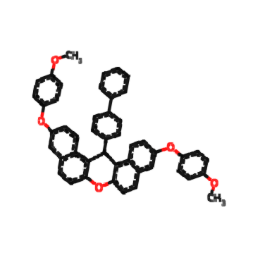 COc1ccc(Oc2ccc3c4c(ccc3c2)Oc2ccc3cc(Oc5ccc(OC)cc5)ccc3c2C4c2ccc(-c3ccccc3)cc2)cc1